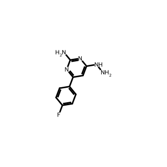 NNc1cc(-c2ccc(F)cc2)nc(N)n1